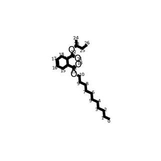 CCCCCCCCCCCOC(=O)C1CC=CCC1C(=O)OC(C)CC